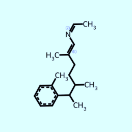 C/C=N\C=C(/C)CCC(C)C(C)c1ccccc1C